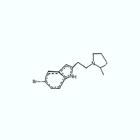 CC1CCCN1CCc1cc2cc(Br)ccc2[nH]1